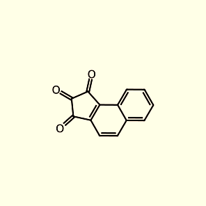 O=c1c(=O)c2ccc3ccccc3c2c1=O